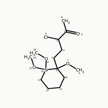 COC1(CCC(Cl)C(C)=O)CCCC[Si]1(OC)OC